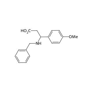 COc1ccc(C(CC(=O)O)NCc2ccccc2)cc1